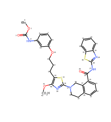 CC(C)(C)OC(=O)Nc1cccc(OCCCc2sc(N3CCc4cccc(C(=O)Nc5nc6ccccc6s5)c4C3)nc2OC(=O)O)c1